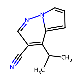 CC(C)c1c(C#N)cnn2cccc12